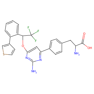 Nc1nc(OC(c2ccccc2-c2ccsc2)C(F)(F)F)cc(-c2ccc(CC(N)C(=O)O)cc2)n1